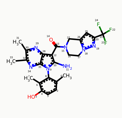 Cc1ccc(O)c(C)c1-n1c(N)c(C(=O)N2CCn3nc(C(F)(F)F)cc3C2)c2nc(C)c(C)nc21